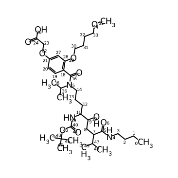 CCCCNC(=O)C(CC(O)C(CCCN(C(=O)c1ccc(OCC(=O)O)cc1OCCCCOC)C(C)C)NC(=O)OC(C)(C)C)C(C)C